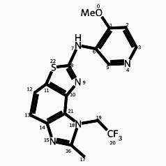 COc1ccncc1Nc1nc2c(ccc3nc(C)n(CC(F)(F)F)c32)s1